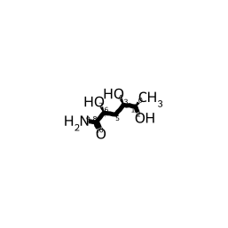 C[C@@H](O)[C@H](O)C[C@H](O)C(N)=O